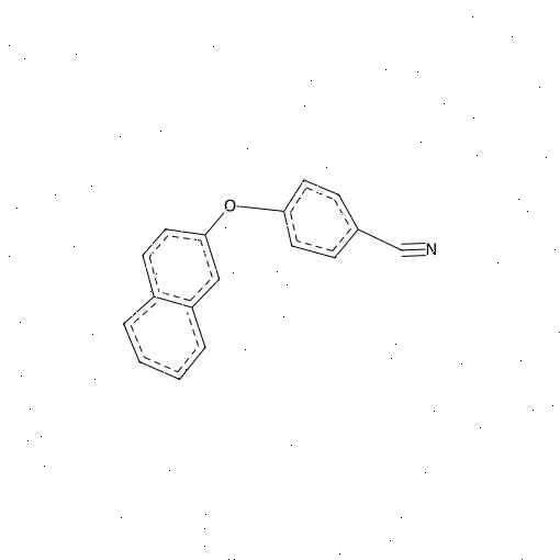 N#Cc1ccc(Oc2ccc3ccccc3c2)cc1